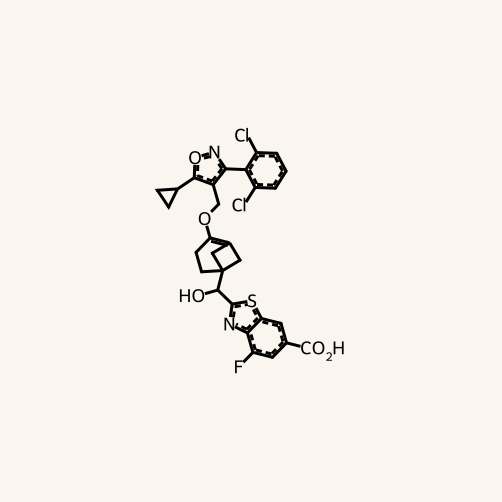 O=C(O)c1cc(F)c2nc(C(O)C34CCC(OCc5c(-c6c(Cl)cccc6Cl)noc5C5CC5)=C(C3)C4)sc2c1